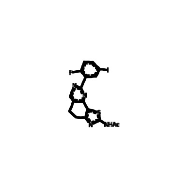 CC(=O)Nc1nc2c(s1)-c1nc(-c3cc(I)ccc3F)ncc1CC2